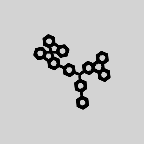 c1ccc(-c2ccc(N(c3ccc(-c4ccc5c(c4)C4(c6ccccc6-c6ccccc64)c4ccccc4-5)cc3)c3ccc4c5ccccc5c5ccccc5c4c3)cc2)cc1